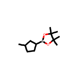 CC1CCC(B2OC(C)(C)C(C)(C)O2)C1